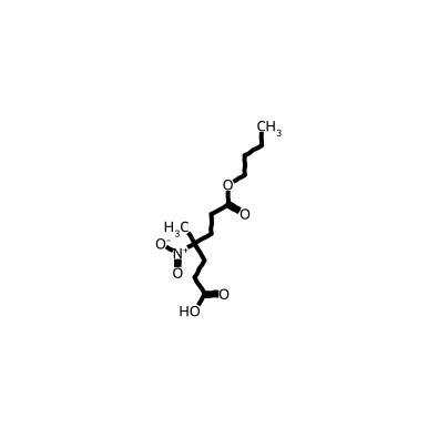 CCCCOC(=O)CCC(C)(CCC(=O)O)[N+](=O)[O-]